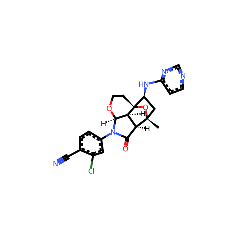 C[C@@]12C[C@H](Nc3ccncn3)[C@]3(CCO[C@H]4[C@@H]3[C@@H]1C(=O)N4c1ccc(C#N)c(Cl)c1)O2